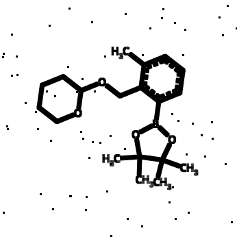 Cc1cccc(B2OC(C)(C)C(C)(C)O2)c1COC1CCCCO1